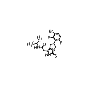 CC(C)NC(=O)Cc1[nH]c(=S)n2c1CC(c1c(F)ccc(Br)c1F)C2